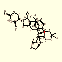 CC1(C)CCC(CN2C3CCC2CN(C(=O)c2ccc4c(c2)CN(C2CCC(=O)NC2=O)C4=O)C3)=C(c2ccc(Cl)cc2)C1